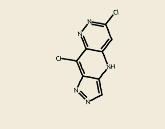 Clc1cc2[nH]c3cnnc-3c(Cl)c2nn1